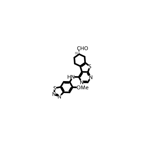 COc1cc2nnsc2cc1Nc1ncnc2sc3c(c12)CC[C@H](C=O)C3